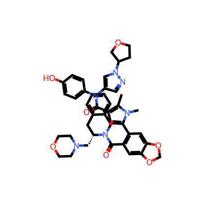 Cc1c(C(=O)N(c2ccc(O)cc2)c2cnn(C3CCOC3)c2)cc(-c2cc3c(cc2C(=O)N2Cc4ccccc4C[C@H]2CN2CCOCC2)OCO3)n1C